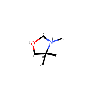 CN1COCC1(C)C